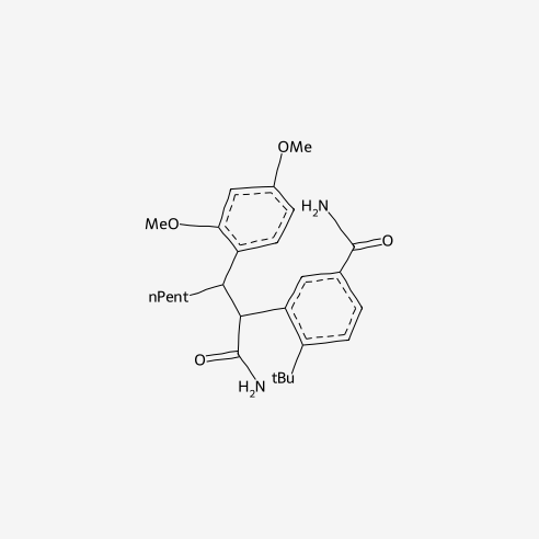 CCCCCC(c1ccc(OC)cc1OC)C(C(N)=O)c1cc(C(N)=O)ccc1C(C)(C)C